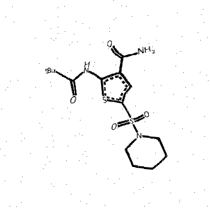 CC(C)(C)C(=O)Nc1sc(S(=O)(=O)N2CCCCC2)cc1C(N)=O